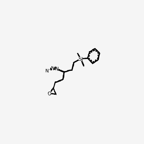 C[Si](C)(CCC(CCC1CO1)N=[N+]=[N-])c1ccccc1